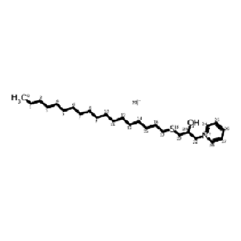 CCCCCCCCCCCCCCCCCCSCC(O)C[n+]1ccccc1.[I-]